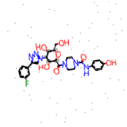 O=C(Nc1ccc(O)cc1)N1CCN(C(=O)[C@@H]2O[C@H](CO)[C@H](O)[C@H](n3cc(-c4cccc(F)c4)nn3)[C@H]2O)CC1